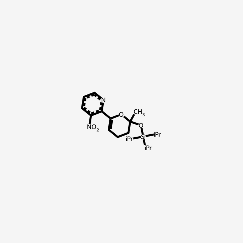 CC(C)[Si](OC1(C)CCC=C(c2ncccc2[N+](=O)[O-])O1)(C(C)C)C(C)C